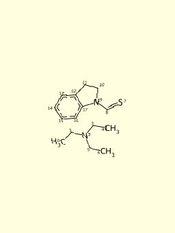 CCN(CC)CC.S=CN1CCc2ccccc21